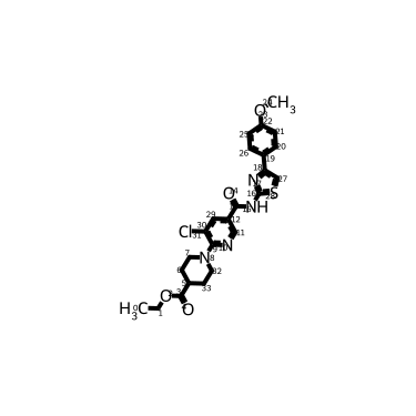 CCOC(=O)C1CCN(c2ncc(C(=O)Nc3nc(-c4ccc(OC)cc4)cs3)cc2Cl)CC1